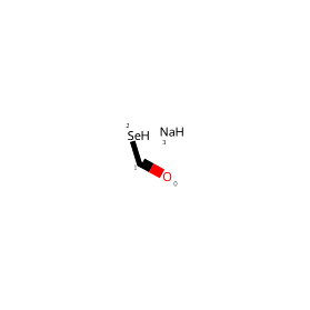 O=C[SeH].[NaH]